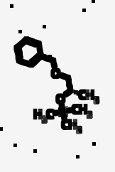 C[C@@H](COCc1ccccc1)O[Si](C)(C)C